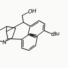 CC(C)(C)c1ccc(C(CO)C2C3CCN(CC3)C2c2ccccc2)cc1